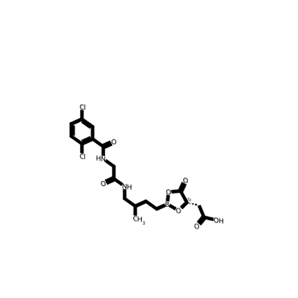 CC(CCB1OC(=O)[C@H](CC(=O)O)O1)CNC(=O)CNC(=O)c1cc(Cl)ccc1Cl